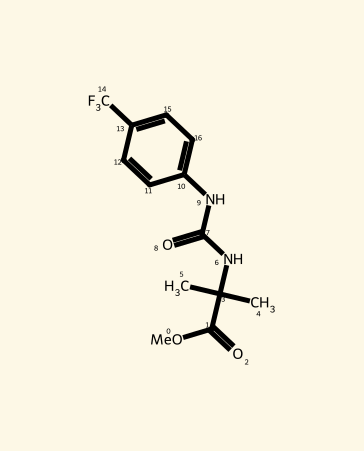 COC(=O)C(C)(C)NC(=O)Nc1ccc(C(F)(F)F)cc1